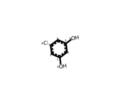 Oc1cccc(O)c1.[C]